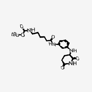 CC(C)(C)OC(=O)NCCCCCC(=O)Nc1cccc(NC2CCC(=O)NC2=O)c1